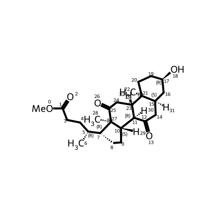 COC(=O)CC[C@@H](C)[C@H]1CC[C@H]2[C@@H]3C(=O)C[C@@H]4C[C@H](O)CC[C@]4(C)[C@H]3CC(=O)[C@]12C